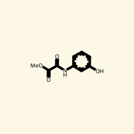 COC(=O)C(=O)Nc1cccc(O)c1